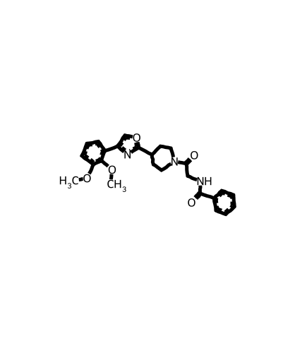 COc1cccc(-c2coc(C3CCN(C(=O)CNC(=O)c4ccccc4)CC3)n2)c1OC